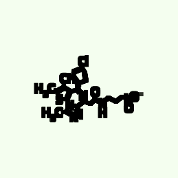 Cc1sc2c(c1C)C(c1ccc(Cl)cc1)=N[C@@H](CC(=O)NCCC[N+](=O)[O-])c1nnc(C)n1-2